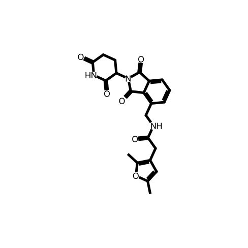 Cc1cc(CC(=O)NCc2cccc3c2C(=O)N(C2CCC(=O)NC2=O)C3=O)c(C)o1